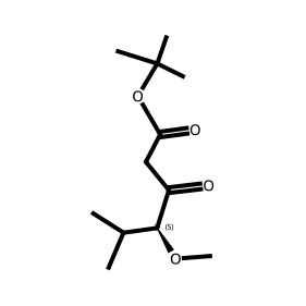 CO[C@H](C(=O)CC(=O)OC(C)(C)C)C(C)C